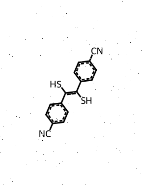 N#Cc1ccc(C(S)=C(S)c2ccc(C#N)cc2)cc1